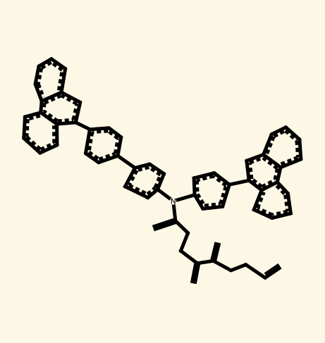 C=CCCC(=C)C(=C)CCC(=C)N(c1ccc(-c2ccc(-c3cc4ccccc4c4ccccc34)cc2)cc1)c1ccc(-c2cc3ccccc3c3ccccc23)cc1